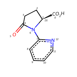 O=C(O)[C@@H]1CCC(=O)N1c1ccccn1